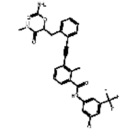 CNC(=O)C(Cc1ccccc1C#Cc1cccc(C(=O)Nc2cc(Cl)cc(C(F)(F)F)c2)c1C)OC(N)=O